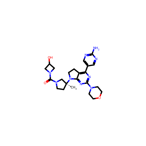 C[C@]1(N2CCc3c(-c4cnc(N)nc4)nc(N4CCOCC4)nc32)CCN(C(=O)N2CC(O)C2)C1